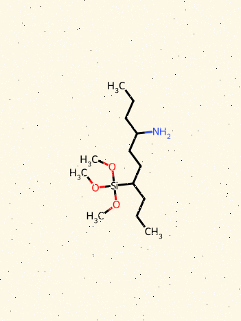 CCCC(N)CCC(CCC)[Si](OC)(OC)OC